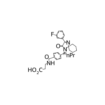 CCC[C@H](c1ccc(C(=O)NCCC(=O)O)cc1)N1C(=O)C(c2cccc(F)c2)=NC12CCCCC2